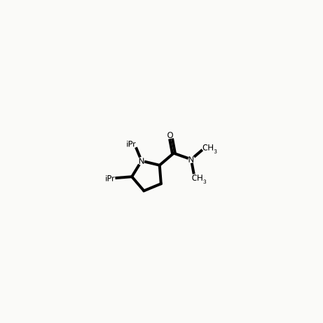 CC(C)C1CCC(C(=O)N(C)C)N1C(C)C